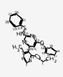 CCOc1nccc(C)c1-c1cc(Oc2ccccc2)nc(NSc2ccccc2)n1